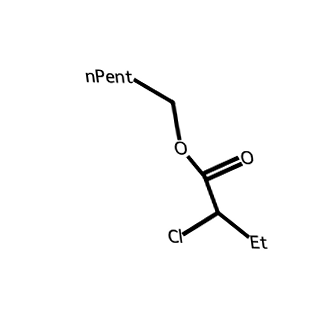 CCCCCCOC(=O)C(Cl)CC